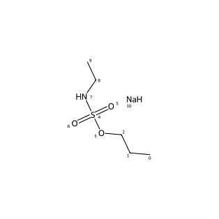 CCCOS(=O)(=O)NCC.[NaH]